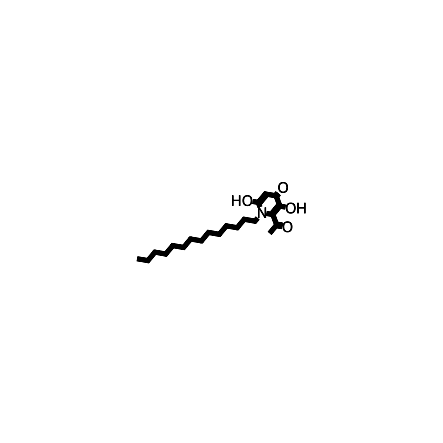 CCCCCCCCCCCCCCn1c(O)cc(=O)c(O)c1C(C)=O